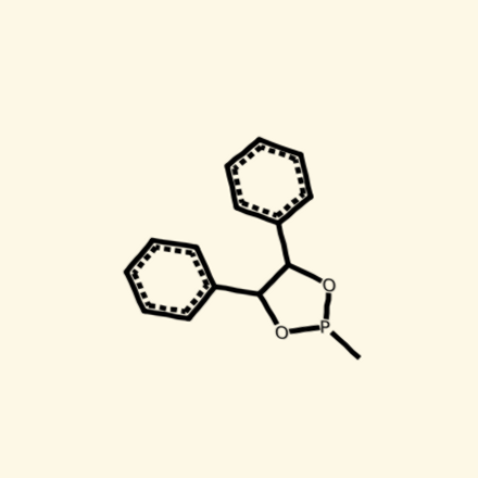 CP1OC(c2ccccc2)C(c2ccccc2)O1